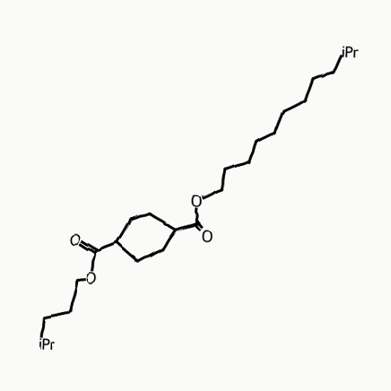 CC(C)CCCCCCCCCOC(=O)C1CCC(C(=O)OCCCC(C)C)CC1